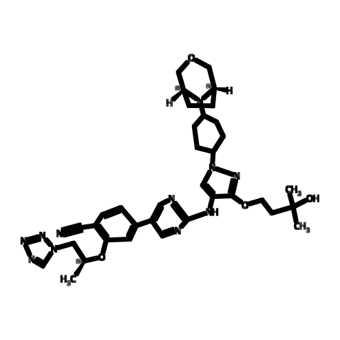 C[C@@H](Cn1cnnn1)Oc1cc(-c2cnc(Nc3cn(C4CCC(N5[C@@H]6CC[C@H]5COC6)CC4)nc3OCCC(C)(C)O)nc2)ccc1C#N